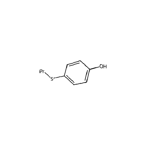 CC(C)Sc1ccc(O)cc1